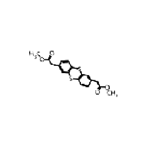 COC(=O)Cc1ccc2c(c1)Sc1ccc(CC(=O)OC)cc1S2